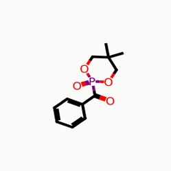 CC1(C)COP(=O)(C(=O)c2ccccc2)OC1